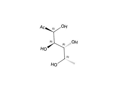 CC(=O)[C@@H](O)[C@H](O)[C@H](O)[C@H](C)O